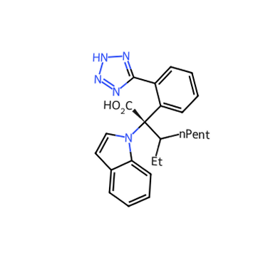 CCCCCC(CC)[C@@](C(=O)O)(c1ccccc1-c1nn[nH]n1)n1ccc2ccccc21